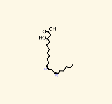 CCCCC/C=C\C/C=C\CCCCCCC[C@@H](O)CC(=O)O